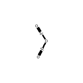 [O]=[Sc][O][Sc]=[O]